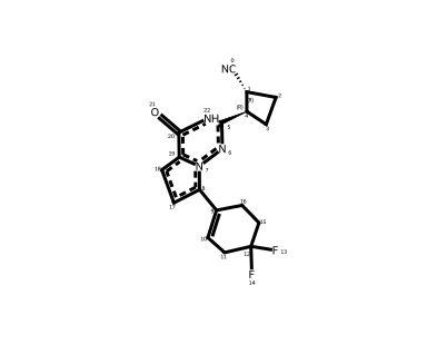 N#C[C@@H]1CC[C@H]1c1nn2c(C3=CCC(F)(F)CC3)ccc2c(=O)[nH]1